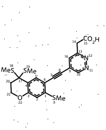 CSc1cc2c(cc1C#Cc1cnnc(CC(=O)O)c1)C(SC)(SC)CCO2